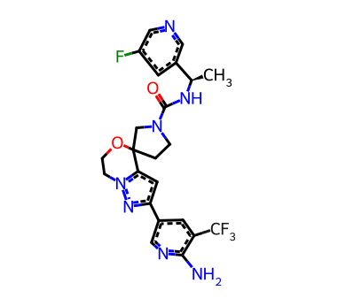 C[C@@H](NC(=O)N1CCC2(C1)OCCn1nc(-c3cnc(N)c(C(F)(F)F)c3)cc12)c1cncc(F)c1